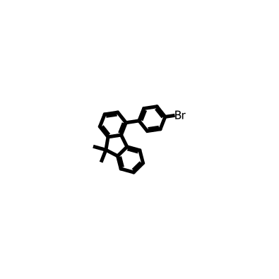 CC1(C)c2ccccc2-c2c(-c3ccc(Br)cc3)cccc21